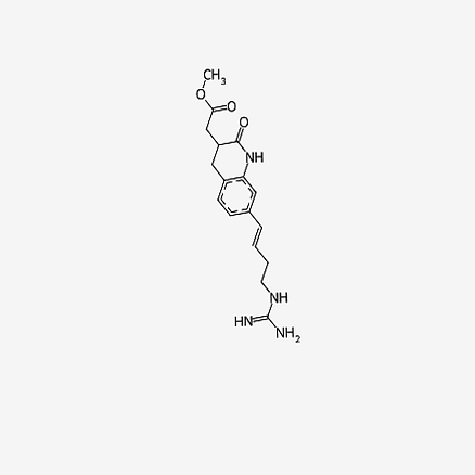 COC(=O)CC1Cc2ccc(/C=C/CCNC(=N)N)cc2NC1=O